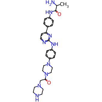 CC(N)C(=O)Nc1ccc(-c2ccnc(Nc3ccc(N4CCN(C(=O)CN5CCNCC5)CC4)cc3)n2)cc1